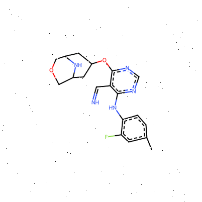 Cc1ccc(Nc2ncnc(OC3CC4COCC(C3)N4)c2C=N)c(F)c1